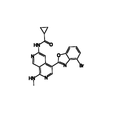 CNc1ncc(-c2nc3c(Br)cccc3o2)c2cc(NC(=O)C3CC3)ncc12